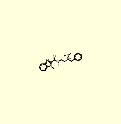 CN[C@H](CCNC(=O)c1nc2ccccc2n1C)Cc1ccccc1